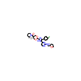 CC1(C(=O)N2CCCCC2)COC(c2nc(-c3ccc(F)cc3)c(-c3ccnc(NCC4CCCO4)n3)[nH]2)OC1